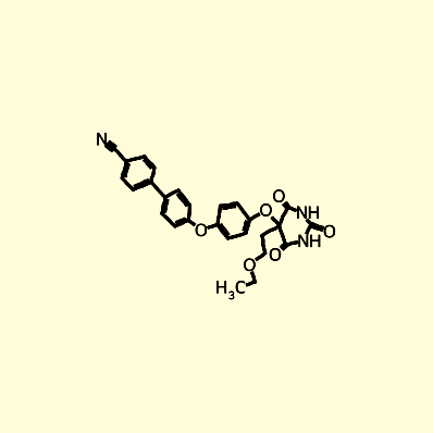 CCOCCC1(Oc2ccc(Oc3ccc(-c4ccc(C#N)cc4)cc3)cc2)C(=O)NC(=O)NC1=O